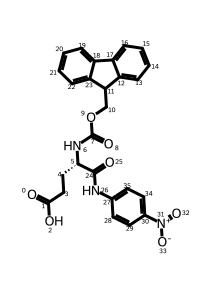 O=C(O)CC[C@H](NC(=O)OCC1c2ccccc2-c2ccccc21)C(=O)Nc1ccc([N+](=O)[O-])cc1